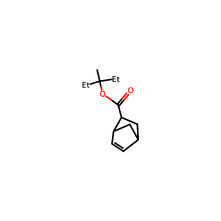 CCC(C)(CC)OC(=O)C1CC2C=CC1C2